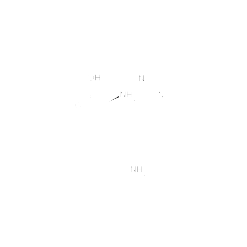 CCC[n+]1ccn(C)c1.NCCCC[C@H](N)C(=O)O